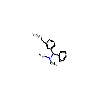 CN(C)C(c1ccccc1)c1cccc(CC(=O)O)c1